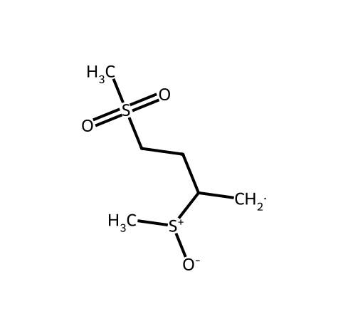 [CH2]C(CCS(C)(=O)=O)[S+](C)[O-]